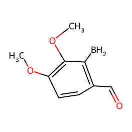 Bc1c(C=O)ccc(OC)c1OC